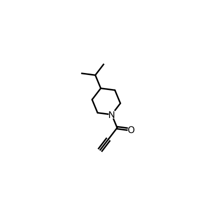 C#CC(=O)N1CCC(C(C)C)CC1